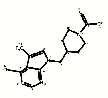 O=C(N1CCC(Cn2cc(C(F)(F)F)c3c(Cl)ncnc32)CC1)C(F)(F)F